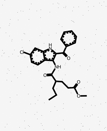 CCCC(CCC(=O)OC)C(=O)Nc1c(C(=O)c2ccccc2)[nH]c2cc(Cl)ccc12